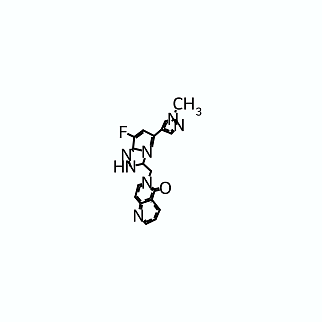 Cn1cc(C2=CN3C(=NNC3Cn3ccc4ncccc4c3=O)C(F)=C2)cn1